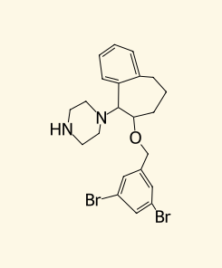 Brc1cc(Br)cc(COC2CCCc3ccccc3C2N2CCNCC2)c1